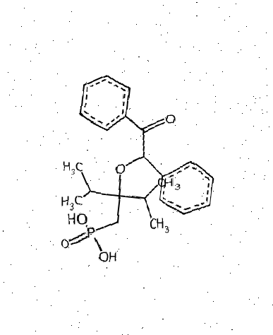 CC(C)C(CP(=O)(O)O)(OC(C(=O)c1ccccc1)c1ccccc1)C(C)C